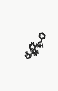 c1ccc(CCNc2nccn3c([C@@H]4CCCS4)nnc23)cc1